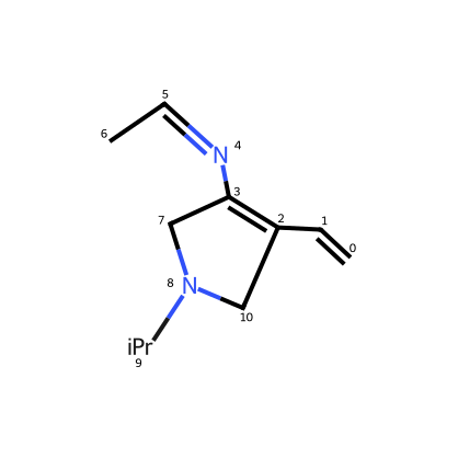 C=CC1=C(/N=C\C)CN(C(C)C)C1